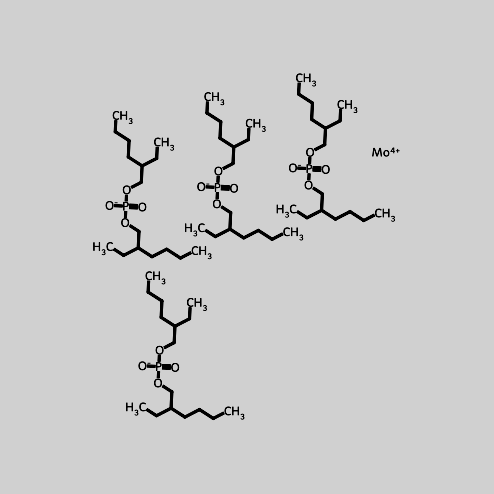 CCCCC(CC)COP(=O)([O-])OCC(CC)CCCC.CCCCC(CC)COP(=O)([O-])OCC(CC)CCCC.CCCCC(CC)COP(=O)([O-])OCC(CC)CCCC.CCCCC(CC)COP(=O)([O-])OCC(CC)CCCC.[Mo+4]